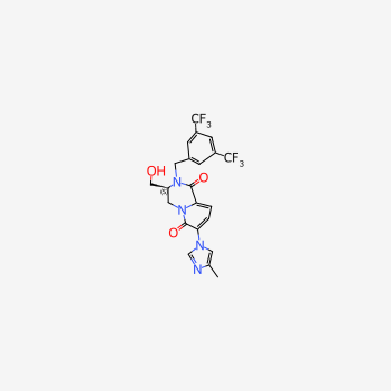 Cc1cn(-c2ccc3n(c2=O)C[C@@H](CO)N(Cc2cc(C(F)(F)F)cc(C(F)(F)F)c2)C3=O)cn1